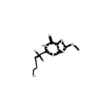 CSc1nc2c(=O)[nH]c(C(F)(F)CCCO)nc2s1